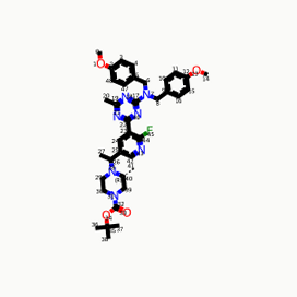 COc1ccc(CN(Cc2ccc(OC)cc2)c2nc(C)nc(-c3cc(C(C)N4CCN(C(=O)OC(C)(C)C)C[C@H]4C)cnc3F)n2)cc1